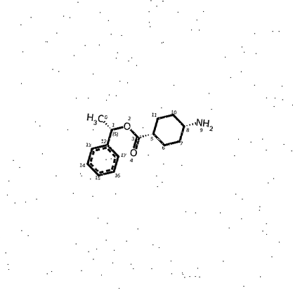 C[C@H](OC(=O)[C@H]1CC[C@@H](N)CC1)c1ccccc1